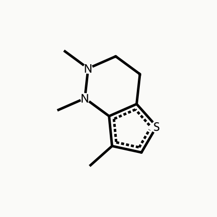 Cc1csc2c1N(C)N(C)CC2